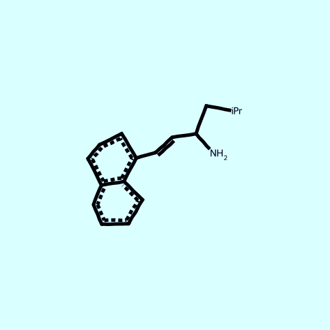 CC(C)CC(N)C=Cc1cccc2ccccc12